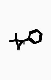 CC1(C)N[C@@H]1c1ccccc1